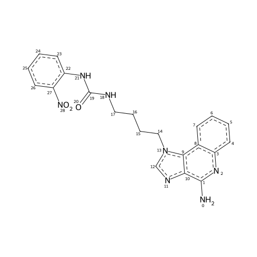 Nc1nc2ccccc2c2c1ncn2CCCCNC(=O)Nc1ccccc1[N+](=O)[O-]